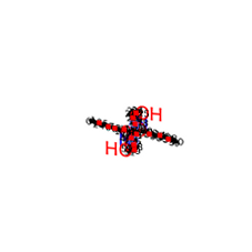 CCCCCCCCCCCCOc1cc(/C(C#N)=C/c2ccc(CO)o2)c(OCCCCCCCCCCCC)cc1/C(C#N)=C/c1ccc(CO)o1